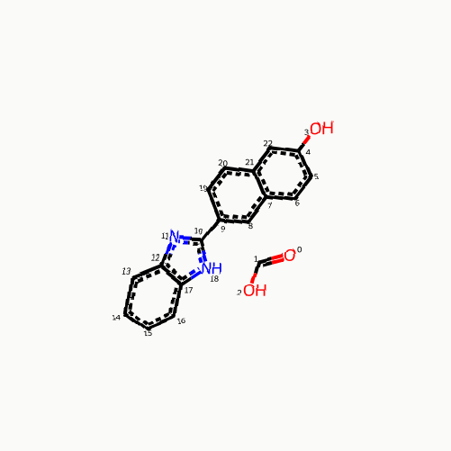 O=CO.Oc1ccc2cc(-c3nc4ccccc4[nH]3)ccc2c1